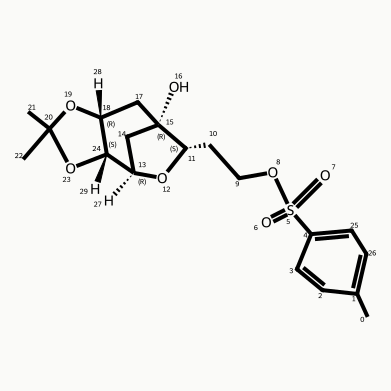 Cc1ccc(S(=O)(=O)OCC[C@@H]2O[C@@H]3C[C@@]2(O)C[C@H]2OC(C)(C)O[C@@H]32)cc1